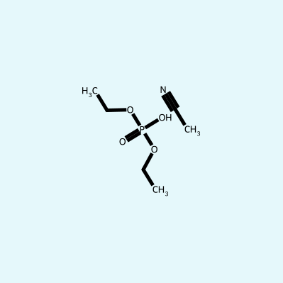 CC#N.CCOP(=O)(O)OCC